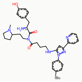 CN1CCCC1CCN(C(=O)CCCNc1cc(-c2ccccn2)nn1-c1ccc(C(C)(C)C)cc1)C(=O)[C@@H](N)Cc1ccc(O)cc1